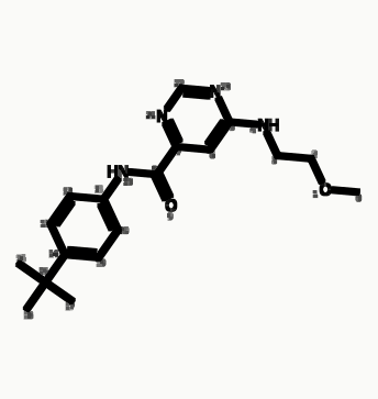 COCCNc1cc(C(=O)Nc2ccc(C(C)(C)C)cc2)ncn1